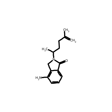 C=C(C)CCC(C)N1Cc2c(N)cccc2C1=O